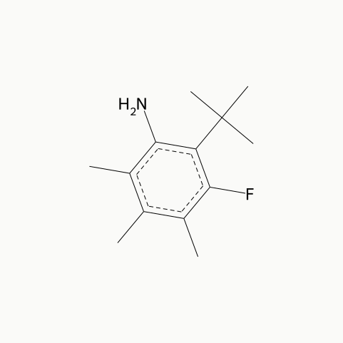 Cc1c(C)c(N)c(C(C)(C)C)c(F)c1C